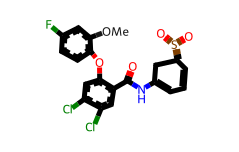 COc1cc(F)ccc1Oc1cc(Cl)c(Cl)cc1C(=O)NC1=CC=CC(=S(=O)=O)C1